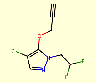 C#CCOc1c(Cl)[c]nn1CC(F)F